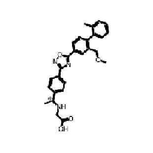 COCc1cc(-c2nc(-c3ccc([C@H](C)NCC(=O)O)cc3)no2)ccc1-c1ccccc1C